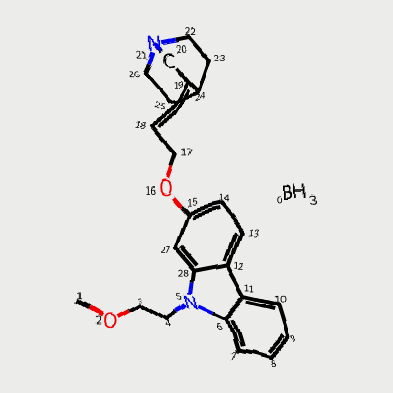 B.COCCn1c2ccccc2c2ccc(OCC=C3CN4CCC3CC4)cc21